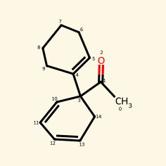 CC(=O)C1(C2=CCCCC2)C=CC=CC1